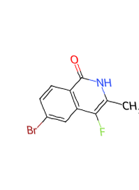 Cc1[nH]c(=O)c2ccc(Br)cc2c1F